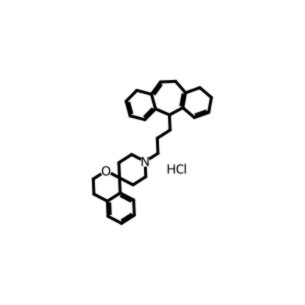 C1=CCC2=CCC3=C(C=CCC3)C(CCCN3CCC4(CC3)OCCc3ccccc34)C2=C1.Cl